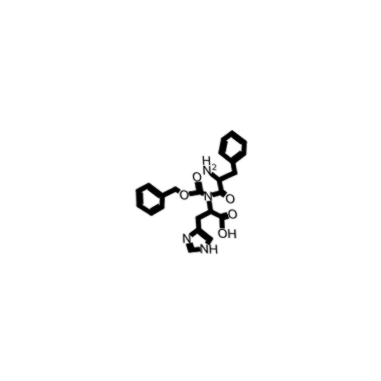 NC(Cc1ccccc1)C(=O)N(C(=O)OCc1ccccc1)C(Cc1c[nH]cn1)C(=O)O